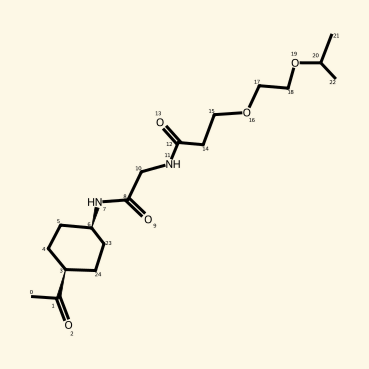 CC(=O)[C@H]1CC[C@@H](NC(=O)CNC(=O)CCOCCOC(C)C)CC1